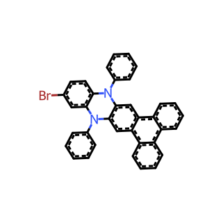 Brc1ccc2c(c1)N(c1ccccc1)c1cc3c4ccccc4c4ccccc4c3cc1N2c1ccccc1